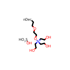 CCCCCCCCCCCCOCCO[N+](CCO)(CCO)CCO.O=S(=O)(O)O